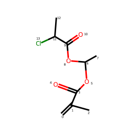 C=C(C)C(=O)OC(C)OC(=O)C(C)Cl